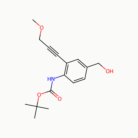 COCC#Cc1cc(CO)ccc1NC(=O)OC(C)(C)C